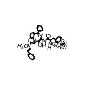 CN(CCC1CCCCC1)C(=O)CN1C(=O)C(NC(=O)C(Cc2ccc(OP(=O)(O)O)cc2)NC(=O)O)N=C(c2ccccc2)c2ccccc21